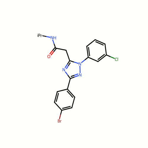 CC(C)NC(=O)Cc1nc(-c2ccc(Br)cc2)nn1-c1cccc(Cl)c1